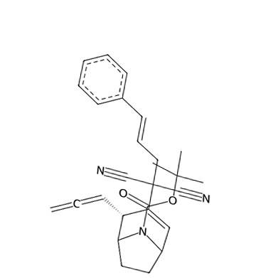 C=C=C[C@@H]1C(C(C#N)(C#N)C/C=C/c2ccccc2)=CC2CCC1N2C(=O)OC(C)(C)C